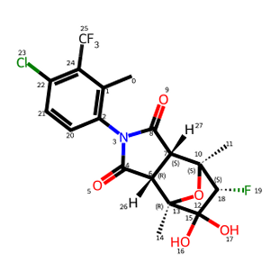 Cc1c(N2C(=O)[C@@H]3[C@H](C2=O)[C@]2(C)O[C@@]3(C)C(O)(O)[C@H]2F)ccc(Cl)c1C(F)(F)F